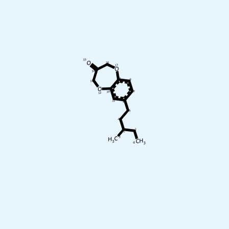 CCC(C)CCc1ccc2c(c1)OCC(=O)CO2